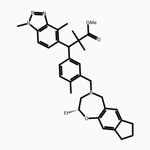 CC[C@@H]1CN(Cc2cc(C(c3ccc4c(nnn4C)c3C)C(C)(C)C(=O)OC)ccc2C)Cc2cc3c(cc2O1)CCC3